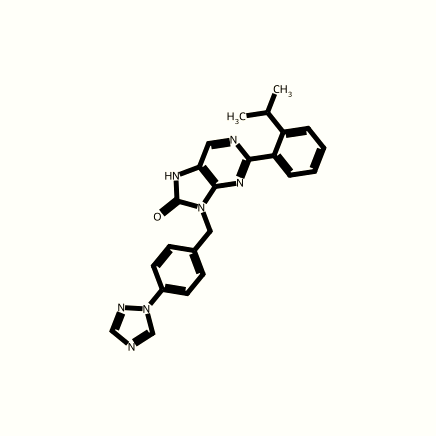 CC(C)c1ccccc1-c1ncc2[nH]c(=O)n(Cc3ccc(-n4cncn4)cc3)c2n1